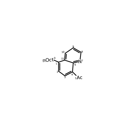 CCCCCCCCc1ccc(C(C)=O)c2ncccc12